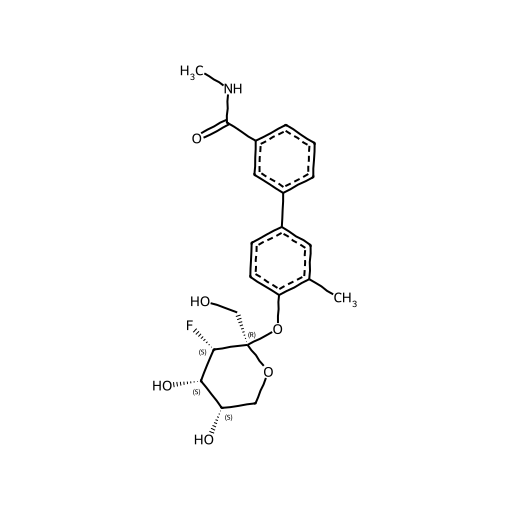 CNC(=O)c1cccc(-c2ccc(O[C@@]3(CO)OC[C@H](O)[C@H](O)[C@@H]3F)c(C)c2)c1